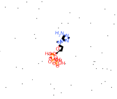 CN([C@H]1CC[C@@H](COP(=O)(O)OP(=O)(O)OP(=O)(O)O)O1)N1c2ncnc(N)c21